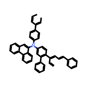 C=C/C(=C\C=C\c1ccccc1)c1ccc(N(c2ccc(C(/C=C\C)=C/C)cc2)c2cc3ccccc3c3ccccc23)cc1-c1ccccc1